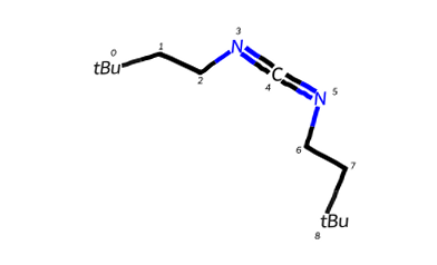 CC(C)(C)CCN=C=NCCC(C)(C)C